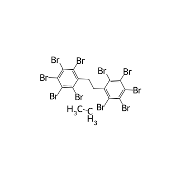 Brc1c(Br)c(Br)c(CCc2c(Br)c(Br)c(Br)c(Br)c2Br)c(Br)c1Br.CC